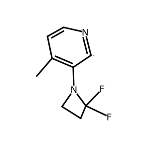 Cc1ccn[c]c1N1CCC1(F)F